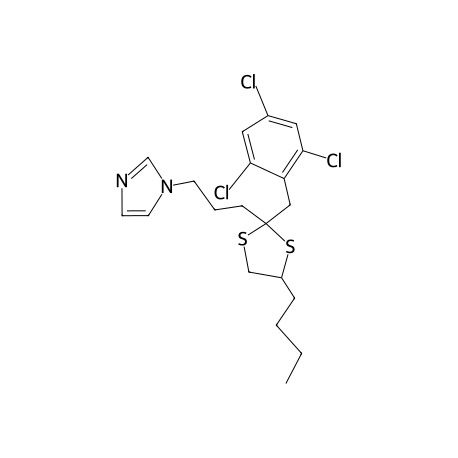 CCCCC1CSC(CCCn2ccnc2)(Cc2c(Cl)cc(Cl)cc2Cl)S1